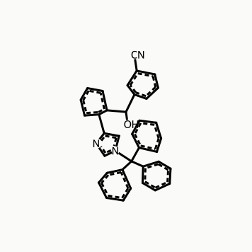 N#Cc1cccc(C(O)c2ccccc2-c2cn(C(c3ccccc3)(c3ccccc3)c3ccccc3)cn2)c1